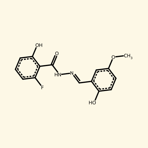 COc1ccc(O)c(/C=N/NC(=O)c2c(O)cccc2F)c1